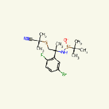 CC(C)(C#N)SC[C@](C)(N[S@+]([O-])C(C)(C)C)c1cc(Br)ccc1F